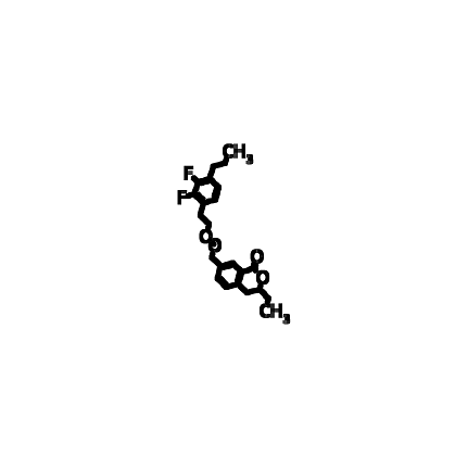 CCCc1ccc(CCOOCc2ccc3c(c2)C(=O)OC(CC)C3)c(F)c1F